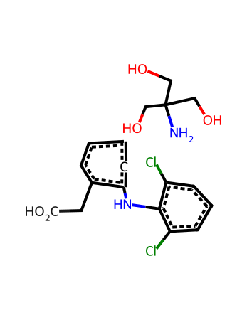 NC(CO)(CO)CO.O=C(O)Cc1ccccc1Nc1c(Cl)cccc1Cl